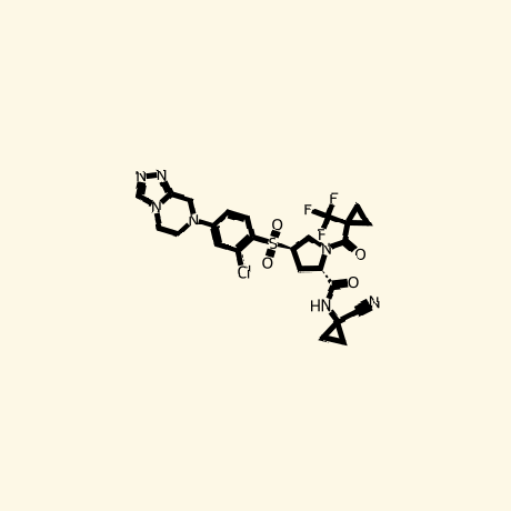 N#CC1(NC(=O)[C@@H]2C[C@@H](S(=O)(=O)c3ccc(N4CCn5cnnc5C4)cc3Cl)CN2C(=O)C2(C(F)(F)F)CC2)CC1